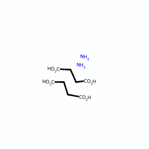 N.N.O=C(O)CCC(=O)O.O=C(O)CCC(=O)O